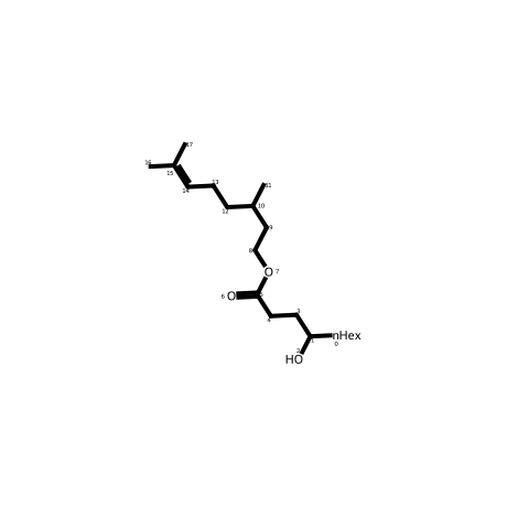 CCCCCCC(O)CCC(=O)OCCC(C)CCC=C(C)C